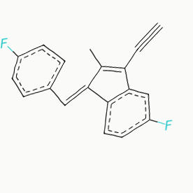 C#CC1=C(C)C(=Cc2ccc(F)cc2)c2ccc(F)cc21